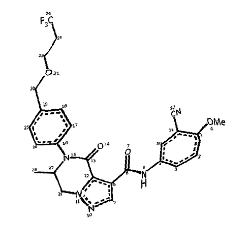 COc1ccc(NC(=O)c2cnn3c2C(=O)N(c2ccc(COCCC(F)(F)F)cc2)C(C)C3)cc1C#N